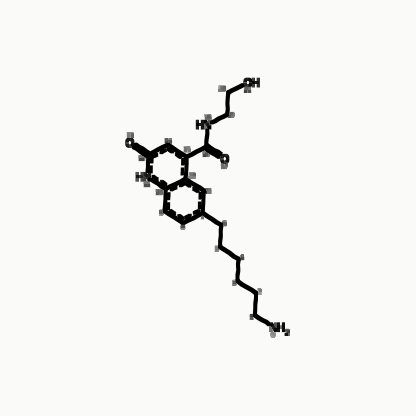 NCCCCCCc1ccc2[nH]c(=O)cc(C(=O)NCCO)c2c1